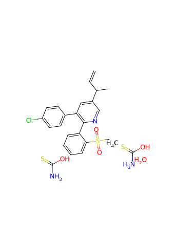 C.C=CC(C)c1cnc(-c2ccccc2S(C)(=O)=O)c(-c2ccc(Cl)cc2)c1.NC(O)=S.NC(O)=S.O